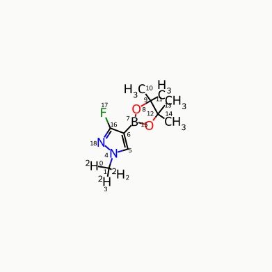 [2H]C([2H])([2H])n1cc(B2OC(C)(C)C(C)(C)O2)c(F)n1